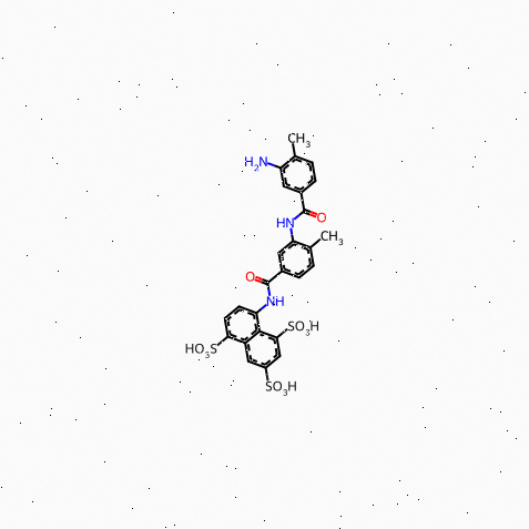 Cc1ccc(C(=O)Nc2cc(C(=O)Nc3ccc(S(=O)(=O)O)c4cc(S(=O)(=O)O)cc(S(=O)(=O)O)c34)ccc2C)cc1N